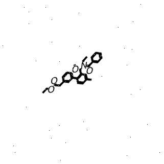 CCOC(=O)Cc1ccc(OC)c(-c2ccc(C)cc2CN(CC)C(=O)c2ccccc2)c1